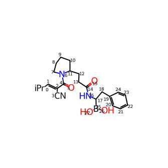 CC(C)C=C(C#N)C(=O)N1CCCCC1CCC(=O)NC(Cc1ccccc1)B(O)O